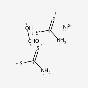 NC(=S)[S-].NC(=S)[S-].O=CO.[Ni+2]